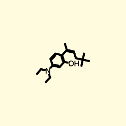 CCN(CC)c1ccc(/C(C)=C\CC(C)(C)C)c(O)c1